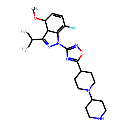 COC1C=CC(F)=C2C1C(C(C)C)=NN2c1noc(C2CCN(C3CCNCC3)CC2)n1